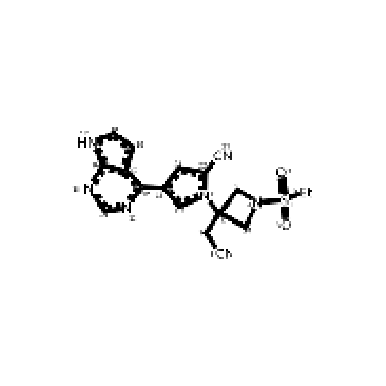 CCS(=O)(=O)N1CC(CC#N)(n2cc(-c3ncnc4[nH]ccc34)cc2C#N)C1